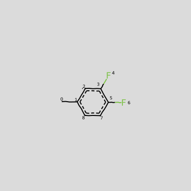 Cc1[c]c(F)c(F)cc1